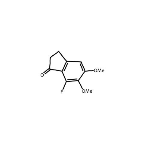 COc1cc2c(c(F)c1OC)C(=O)CC2